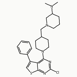 CN(C)C1CCCN(CC2CCN(c3nc(Cl)nc4scc(-c5ccccc5)c34)CC2)C1